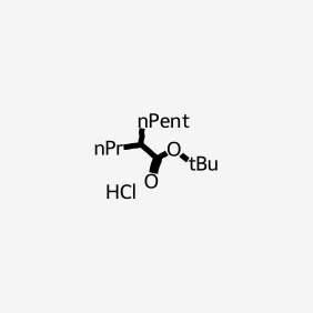 CCCCCC(CCC)C(=O)OC(C)(C)C.Cl